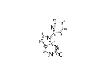 Clc1ncc2ccn(-c3ccccn3)c2n1